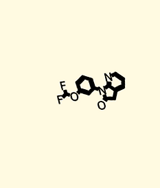 O=C1Cc2cccnc2N1c1cccc(OC(F)F)c1